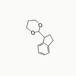 c1ccc2c(c1)CCC2C1OCCCO1